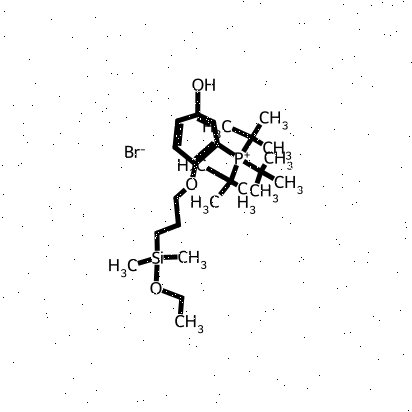 CCO[Si](C)(C)CCCOc1ccc(O)cc1[P+](C(C)(C)C)(C(C)(C)C)C(C)(C)C.[Br-]